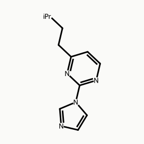 CC(C)CCc1ccnc(-n2ccnc2)n1